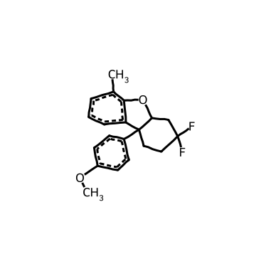 COc1ccc(C23CCC(F)(F)CC2Oc2c(C)cccc23)cc1